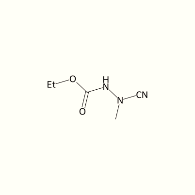 CCOC(=O)NN(C)C#N